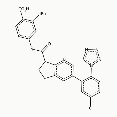 CC(C)(C)c1cc(NC(=O)C2CCc3cc(-c4cc(Cl)ccc4-n4cnnn4)cnc32)ccc1C(=O)O